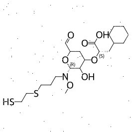 CON(CCCSCCS)[C@@H]1OC(C=O)CC(O[C@@H](CC2CCCCC2)C(=O)O)C1O